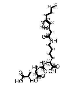 O=C(O)CC[C@H](NC(=O)N[C@@H](CCCCNC(=O)Cn1cc(CCCF)nn1)C(=O)O)C(=O)O